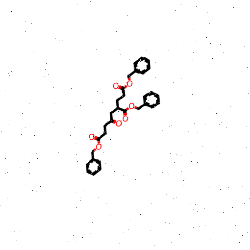 O=C(CCC(=O)OCc1ccccc1)CC(CCC(=O)OCc1ccccc1)C(=O)OCc1ccccc1